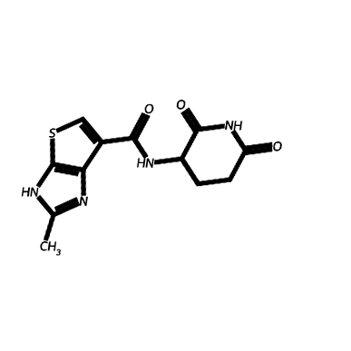 Cc1nc2c(C(=O)NC3CCC(=O)NC3=O)csc2[nH]1